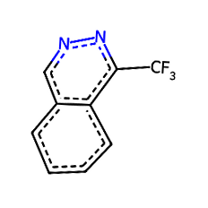 FC(F)(F)c1nncc2ccccc12